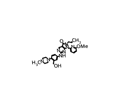 C=CCn1c(=O)c2cnc(Nc3ccc(N4CCN(C)CC4)c(CO)c3)nc2n1-c1cccc(OC)n1